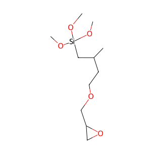 CO[Si](CC(C)CCOCC1CO1)(OC)OC